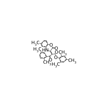 Cc1cc(C)c(OC(=O)C(C(=O)c2cc(C)ccc2C)=C2Nc3cc(C)ccc3OC2=O)c(C)c1